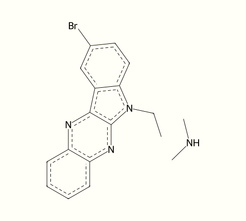 CCn1c2ccc(Br)cc2c2nc3ccccc3nc21.CNC